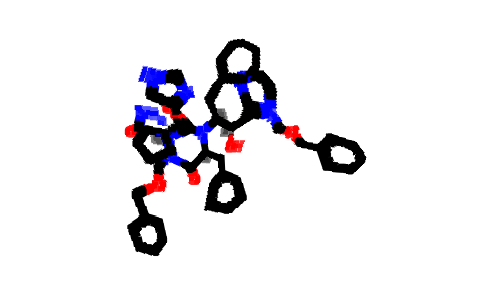 NC(=O)[C@H](Cc1c[nH]cn1)N(COCc1ccccc1)C(=O)[C@H](Cc1ccccc1)N(C(=O)N1CCCC1)[C@@H](CC1CCCCC1)[C@@H](O)c1nccn1COCc1ccccc1